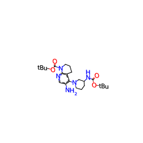 CC(C)(C)OC(=O)NC1CCCN(c2c(N)cnc3c2CCCN3C(=O)OC(C)(C)C)C1